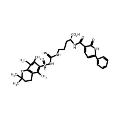 Cc1c(C)c(S(=O)(=O)NC(=N)NCCC[C@H](NC(=O)c2ccc(-c3ccccc3)[nH]c2=O)C(=O)O)c(C)c2c1OC(C)(C)CC2